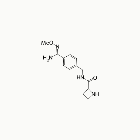 CO/N=C(\N)c1ccc(CNC(=O)C2CCN2)cc1